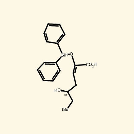 CC(C)(C)C[C@@H](O)CC=C(O[SiH](c1ccccc1)c1ccccc1)C(=O)O